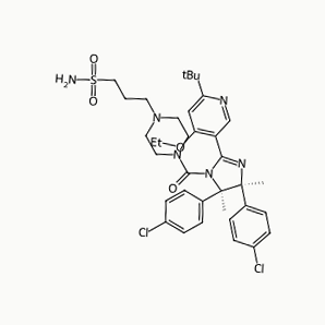 CCOc1cc(C(C)(C)C)ncc1C1=N[C@@](C)(c2ccc(Cl)cc2)[C@@](C)(c2ccc(Cl)cc2)N1C(=O)N1CCN(CCCS(N)(=O)=O)CC1